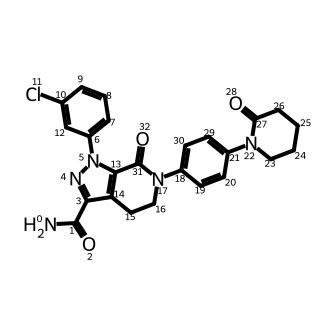 NC(=O)c1nn(-c2cccc(Cl)c2)c2c1CCN(c1ccc(N3CCCCC3=O)cc1)C2=O